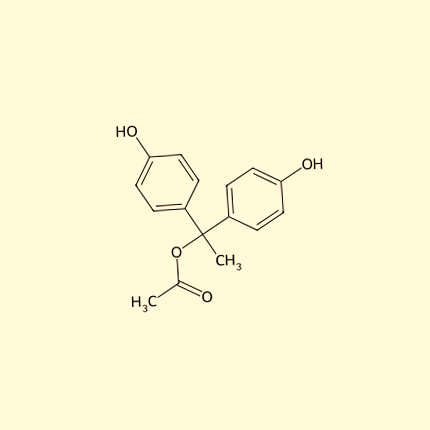 CC(=O)OC(C)(c1ccc(O)cc1)c1ccc(O)cc1